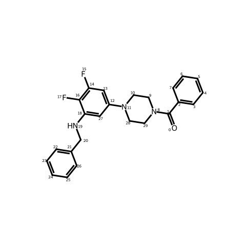 O=C(c1ccccc1)N1CCN(c2cc(F)c(F)c(NCc3ccccc3)c2)CC1